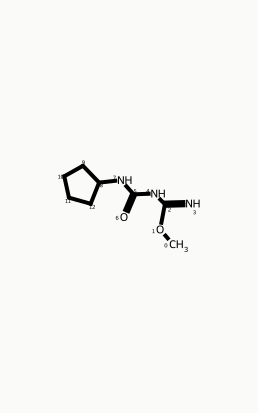 COC(=N)NC(=O)NC1CCCC1